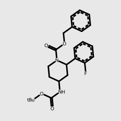 CC(C)(C)OC(=O)NC1CCN(C(=O)OCc2ccccc2)C(c2ccccc2F)C1